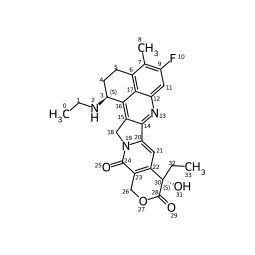 CCN[C@H]1CCc2c(C)c(F)cc3nc4c(c1c23)Cn1c-4cc2c(c1=O)COC(=O)[C@]2(O)CC